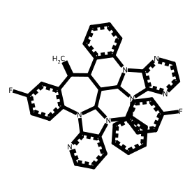 C=C1c2cc(F)ccc2N2c3ncccc3N(c3ccc(F)cc3)C2C2C1c1ccccc1N1c3nccnc3N(c3ccccc3)C21